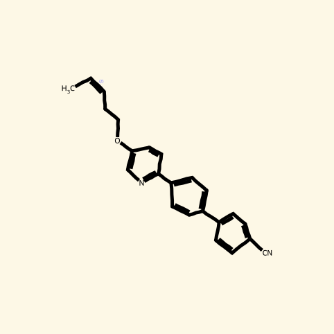 C/C=C\CCOc1ccc(-c2ccc(-c3ccc(C#N)cc3)cc2)nc1